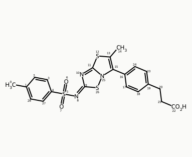 Cc1ccc(S(=O)(=O)N=c2nc3sc(C)c(-c4ccc(CCC(=O)O)cc4)n3s2)cc1